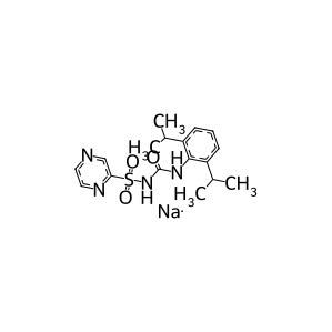 CC(C)c1cccc(C(C)C)c1NC(=O)NS(=O)(=O)c1cnccn1.[Na]